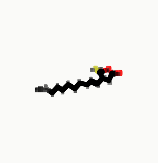 CCCCCCCCCCCCCCCCC=CC1CC(=O)OC1=S